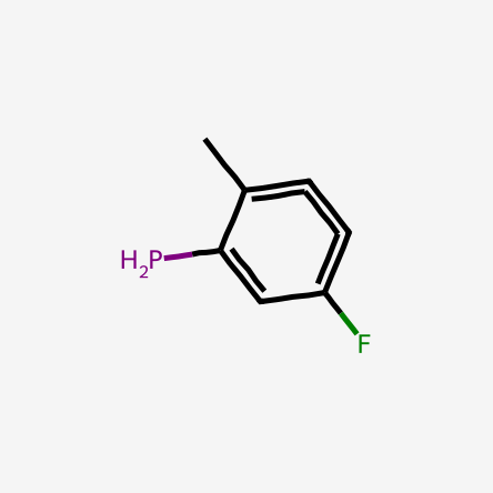 CC1=C=C=C(F)C=C1P